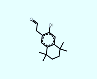 CC1(C)CCC(C)(C)c2cc(CC=O)c(O)cc21